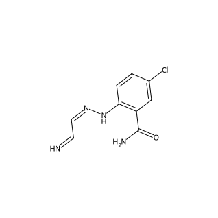 N=C/C=N\Nc1ccc(Cl)cc1C(N)=O